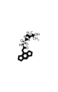 CC(C)(O)c1cnc(S(=O)(=O)NC(=O)Cc2c3c(cc4c2CCC4)CCC3)s1